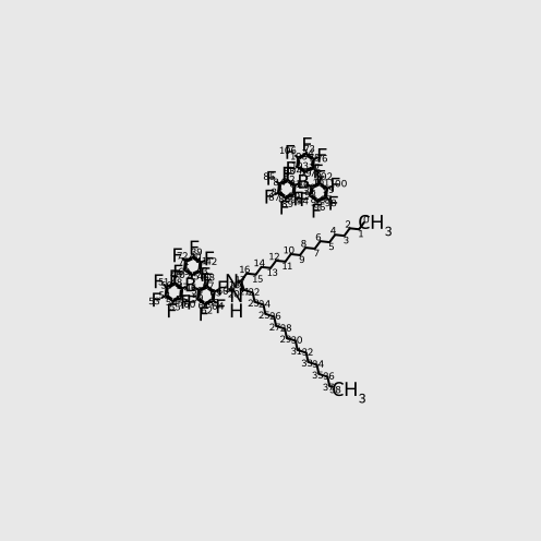 CCCCCCCCCCCCCCCCCc1nc[nH]c1CCCCCCCCCCCCCCCCC.Fc1c(F)c(F)c(B(c2c(F)c(F)c(F)c(F)c2F)c2c(F)c(F)c(F)c(F)c2F)c(F)c1F.Fc1c(F)c(F)c(B(c2c(F)c(F)c(F)c(F)c2F)c2c(F)c(F)c(F)c(F)c2F)c(F)c1F